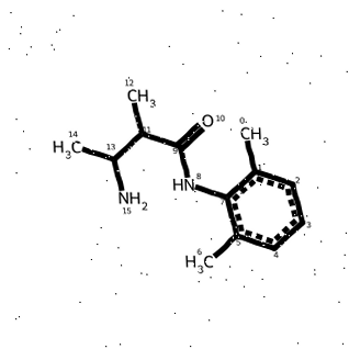 Cc1cccc(C)c1NC(=O)C(C)C(C)N